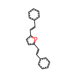 C(=Cc1ccc(C=Cc2ccccc2)o1)c1ccccc1